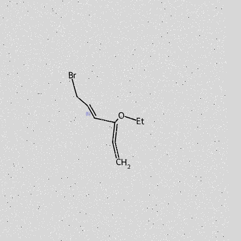 C=C=C(/C=C/CBr)OCC